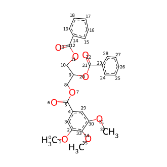 COc1cc(C(=O)OCC(COC(=O)c2ccccc2)OC(=O)c2ccccc2)cc(OC)c1OC